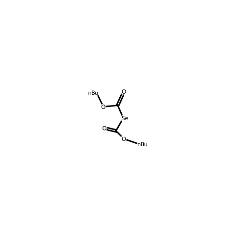 CCCCOC(=O)[Se]C(=O)OCCCC